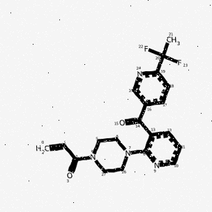 C=CC(=O)N1CCN(c2ncccc2C(=O)c2ccc(C(C)(F)F)nc2)CC1